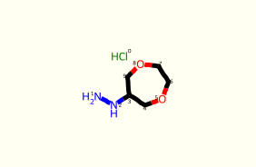 Cl.NNC1COCCOC1